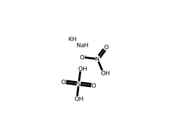 O=S(=O)(O)O.O=[N+]([O-])O.[KH].[NaH]